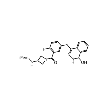 CCCC(C)NC1CN(C(=O)c2cc(CC3=NNC(O)c4ccccc43)ccc2F)C1